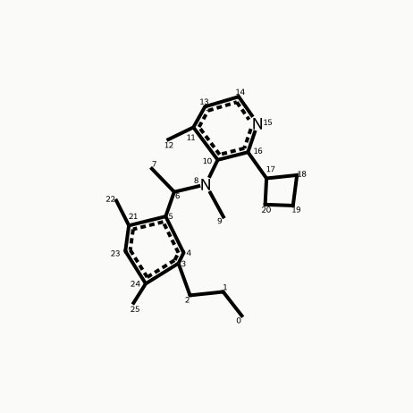 CCCc1cc(C(C)N(C)c2c(C)ccnc2C2CCC2)c(C)cc1C